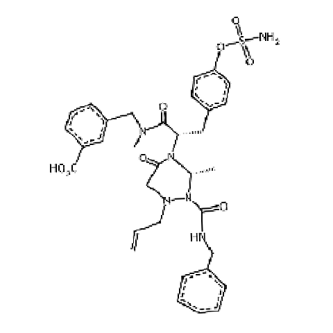 C=CCN1CC(=O)N([C@@H](Cc2ccc(OS(N)(=O)=O)cc2)C(=O)N(C)Cc2cccc(C(=O)O)c2)[C@H](C)N1C(=O)NCc1ccccc1